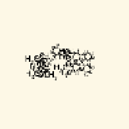 COc1cc(C2(c3ccc(C)c(OC(=O)Oc4ccccc4CCC[Si](C)(O[Si](C)(C)C)O[Si](C)(C)OC)c3)c3ccccc3-c3ccccc32)ccc1C